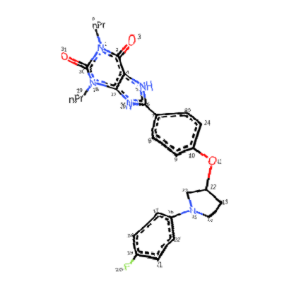 CCCn1c(=O)c2[nH]c(-c3ccc(OC4CCN(c5ccc(F)cc5)C4)cc3)nc2n(CCC)c1=O